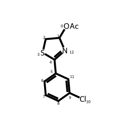 CC(=O)OC1CSC(c2cccc(Cl)c2)=N1